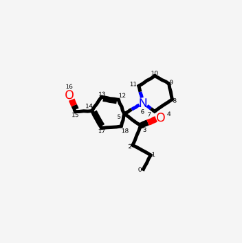 CCCC(=O)C1(N2CCCCC2)C=CC(C=O)=CC1